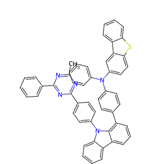 Cc1nc(-c2ccccc2)nc(-c2ccc(-n3c4ccccc4c4cccc(-c5ccc(N(c6ccccc6)c6ccc7sc8ccccc8c7c6)cc5)c43)cc2)n1